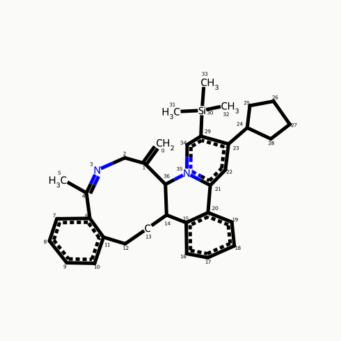 C=C1C/N=C(/C)c2ccccc2CCC2c3ccccc3-c3cc(C4CCCC4)c([Si](C)(C)C)c[n+]3C12